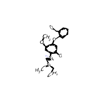 CCN(C)/C=N/c1cc(OC)c(Oc2ccccc2Cl)cc1Cl